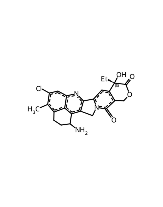 CC[C@@]1(O)C(=O)OCc2c1cc1n(c2=O)Cc2c-1nc1cc(Cl)c(C)c3c1c2C(N)CC3